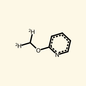 [2H]C([2H])Oc1ccccn1